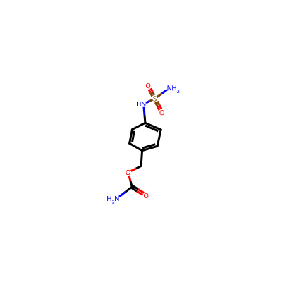 NC(=O)OCc1ccc(NS(N)(=O)=O)cc1